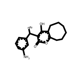 CCCC(c1cccc(N)c1)c1c(O)c2c(oc1=O)CCCCCC2